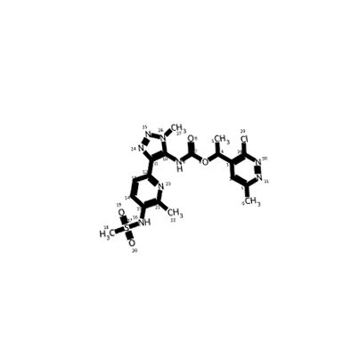 Cc1cc(C(C)OC(=O)Nc2c(-c3ccc(NS(C)(=O)=O)c(C)n3)nnn2C)c(Cl)nn1